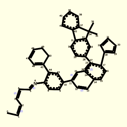 C\C=C/C=C\C=N\c1ccc(C(/C=C\c2ccc(C3=C=CC=C3)cc2)=C/C=N\c2ccc3c(c2)C(C)(C)c2ccccc2-3)cc1C1=CC=CCC1